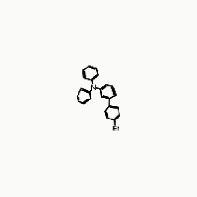 CCc1ccc(-c2cccc(N(c3ccccc3)c3ccccc3)c2)cc1